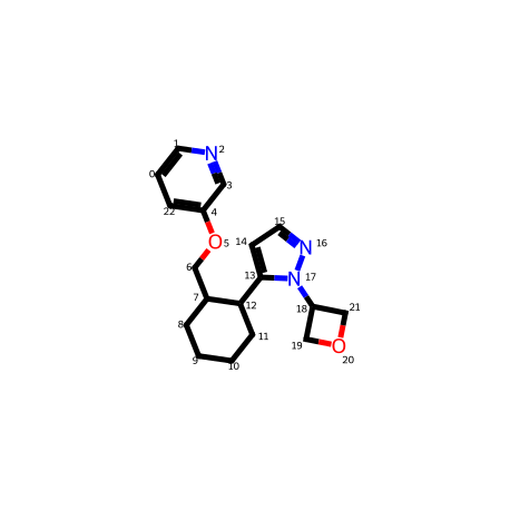 c1cncc(OCC2CCCCC2c2ccnn2C2COC2)c1